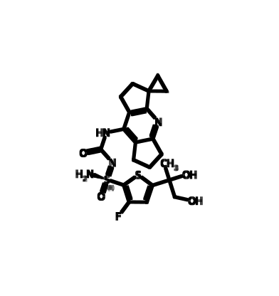 CC(O)(CO)c1cc(F)c([S@](N)(=O)=NC(=O)Nc2c3c(nc4c2CCC42CC2)CCC3)s1